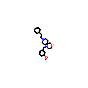 COc1cccc(CN2CCOCC23CCN(CCc2ccccc2)CC3)c1